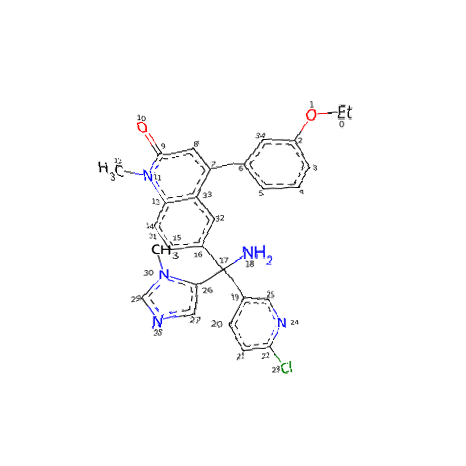 CCOc1cccc(-c2cc(=O)n(C)c3ccc(C(N)(c4ccc(Cl)nc4)c4cncn4C)cc23)c1